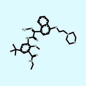 CCNC(=O)c1cc(C(C)(C)C)cc(NC(=O)C(=NN)c2ccc(OCCN3CCOCC3)c3ccccc23)c1OC